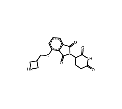 O=C1CCC(N2C(=O)c3cccc(OCC4CNC4)c3C2=O)C(=O)N1